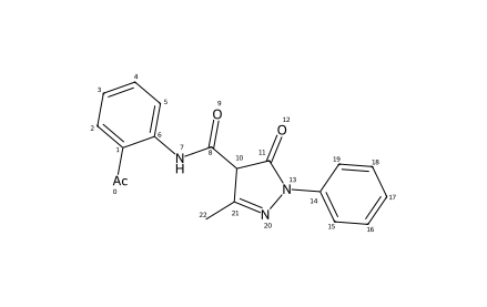 CC(=O)c1ccccc1NC(=O)C1C(=O)N(c2ccccc2)N=C1C